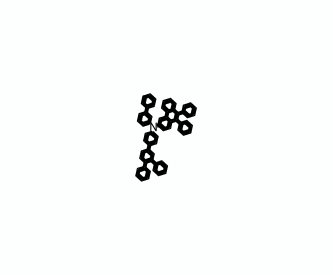 c1ccc(-c2cccc(N(c3ccc(-c4ccc(-c5ccccc5)c(-c5ccccc5)c4)cc3)c3ccc4c(-c5ccccc5)c(-c5ccccc5)c5ccccc5c4c3)c2)cc1